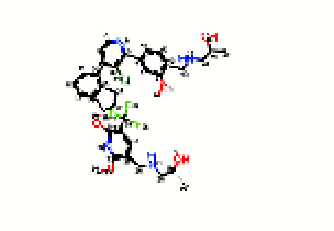 COc1cc(-c2nccc(-c3cccc4c3CC[C@@H]4Oc3nc(OC)c(CNC[C@@H](C)O)cc3C(F)(F)F)c2Cl)ccc1CNC[C@H](C)O